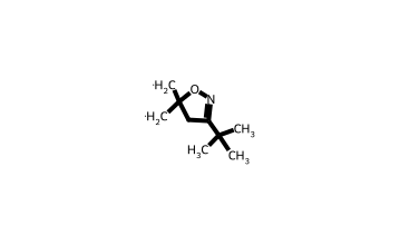 [CH2]C1([CH2])CC(C(C)(C)C)=NO1